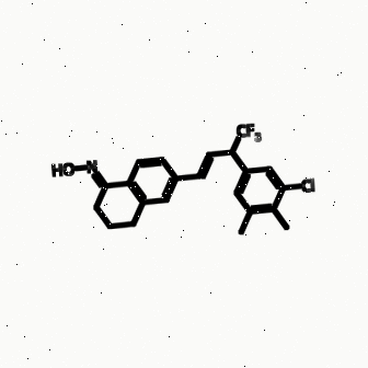 Cc1cc(C(/C=C/c2ccc3c(c2)CCC/C3=N\O)C(F)(F)F)cc(Cl)c1C